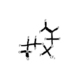 O=S(=O)(F)C(F)(F)C(F)(F)OC(F)(OC(F)(F)C(F)=C(F)F)C(F)(F)F